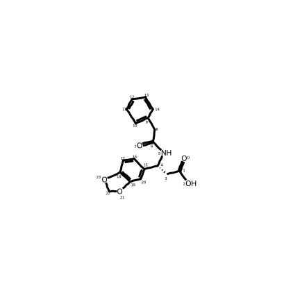 O=C(O)C[C@@H](NC(=O)Cc1ccccc1)c1ccc2c(c1)OCO2